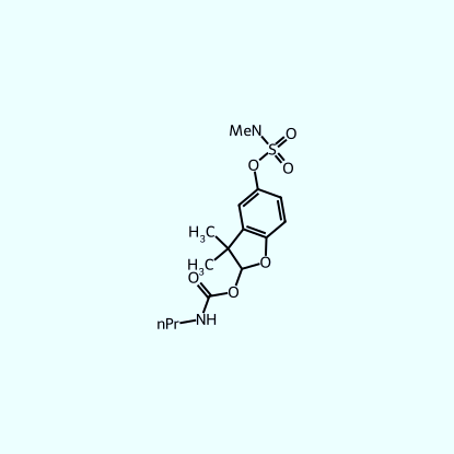 CCCNC(=O)OC1Oc2ccc(OS(=O)(=O)NC)cc2C1(C)C